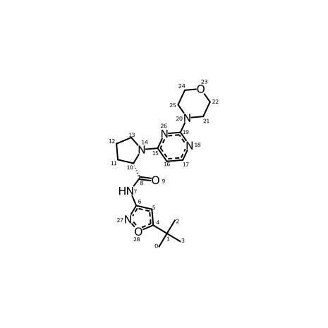 CC(C)(C)c1cc(NC(=O)[C@@H]2CCCN2c2ccnc(N3CCOCC3)n2)no1